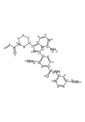 C=CC(=O)N1CCCC(c2nc(-c3ccc(C(=O)Nc4cc(C#N)ccn4)cc3C#N)n3c(N)nccc23)C1